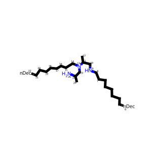 CCCCCCCCCCCCCCCCCCNCC(C)N(CCCCCCCCCCCCCCCCCC)CC(C)N